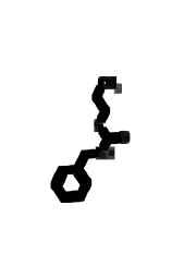 CCCSC(=O)NCc1ccccc1